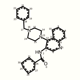 O=C(Nc1cnc2ccccc2c1N1CCN(Cc2ccccc2)CC1)c1ccccc1